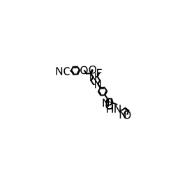 N#Cc1ccc(OCC(=O)N2CCN(c3ccc(-c4cc(CNc5ccon5)on4)cc3)CC2F)cc1